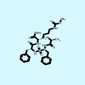 CNC(=O)[C@H](CCCCNC(=O)OC(C)(C)C)NC(=O)[C@@H](Cc1ccccc1)NS(=O)(=O)N(Cc1ccccc1)NC(=O)[C@H](C)N